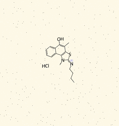 CCCC/N=c1/sc2c(C)c(O)c3ccccc3c2n1C.Cl